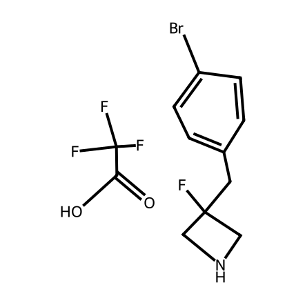 FC1(Cc2ccc(Br)cc2)CNC1.O=C(O)C(F)(F)F